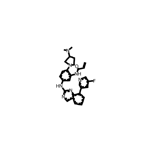 C=CC(=O)Nc1cc(Nc2ncc3cccc(-c4cncc(F)c4)c3n2)ccc1N1CCC(N(C)C)C1